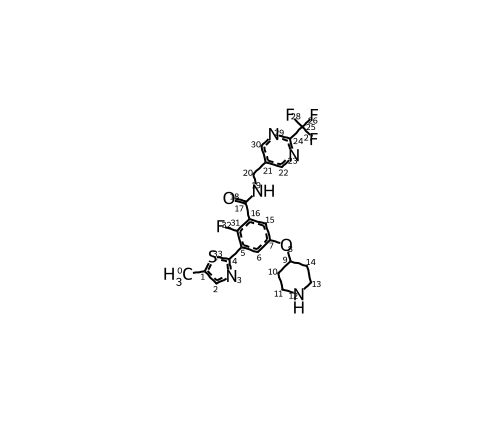 Cc1cnc(-c2cc(OC3CCNCC3)cc(C(=O)NCc3cnc(C(F)(F)F)nc3)c2F)s1